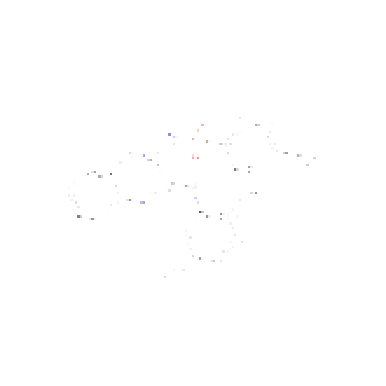 COc1ccc(S(=O)(=O)Nc2nc3ccccc3nc2Nc2cc(OC)ccc2OC)cc1